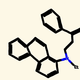 C=C(CCN(CC)c1cccc2c1ccc1ccccc12)c1ccccc1